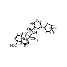 Cc1cccn2c(C(C)(C)NC(=O)[C@@H]3CN(C4CCC(F)(F)CC4)CCN3)ncc12